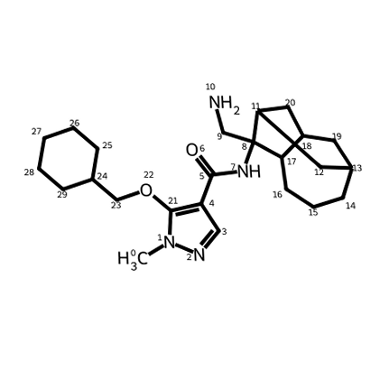 Cn1ncc(C(=O)NC2(CN)C3CC4CCCC2C(C4)C3)c1OCC1CCCCC1